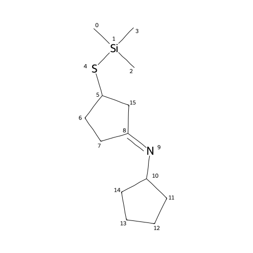 C[Si](C)(C)SC1CC/C(=N\C2CCCC2)C1